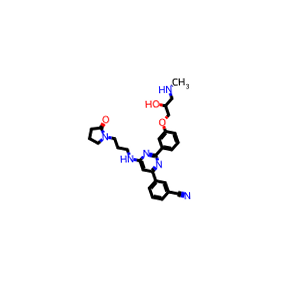 CNCC(O)COc1cccc(-c2nc(NCCCN3CCCC3=O)cc(-c3cccc(C#N)c3)n2)c1